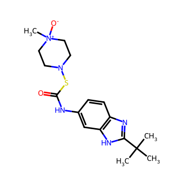 CC(C)(C)c1nc2ccc(NC(=O)SN3CC[N+](C)([O-])CC3)cc2[nH]1